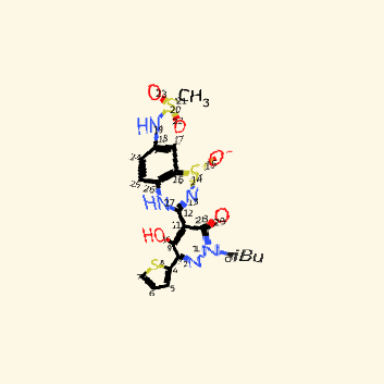 CCC(C)n1nc(-c2cccs2)c(O)c(C2=N[S+]([O-])c3cc(NS(C)(=O)=O)ccc3N2)c1=O